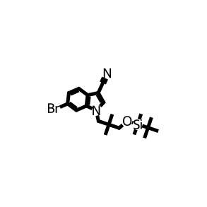 CC(C)(CO[Si](C)(C)C(C)(C)C)Cn1cc(C#N)c2ccc(Br)cc21